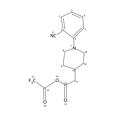 N#Cc1ccccc1N1CCC(CC(=O)OC(=O)C(F)(F)F)CC1